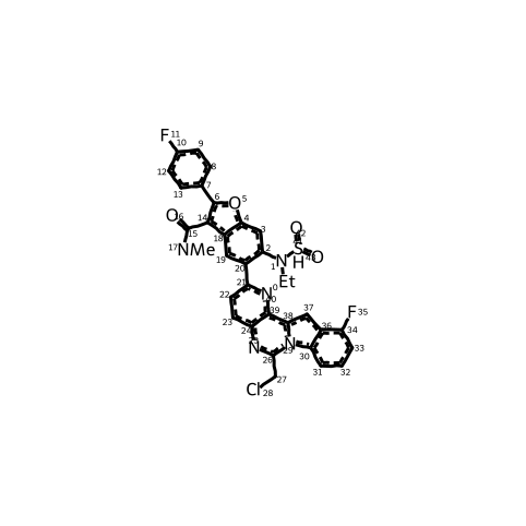 CCN(c1cc2oc(-c3ccc(F)cc3)c(C(=O)NC)c2cc1-c1ccc2nc(CCl)n3c4cccc(F)c4cc3c2n1)[SH](=O)=O